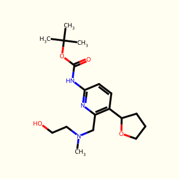 CN(CCO)Cc1nc(NC(=O)OC(C)(C)C)ccc1C1CCCO1